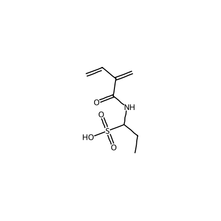 C=CC(=C)C(=O)NC(CC)S(=O)(=O)O